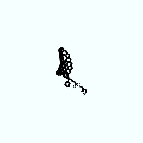 O=C(CCCC1(c2ccccc2)C2c3cc4c5c6c(cc7c8c9c%10c%11c(cc%12cc%13c%14c(c%15c3c5c3c%15c5c%14c%12c%11c5c9c3c68)C21C=%13)CC=%10C7)C4)OCCc1ccsc1